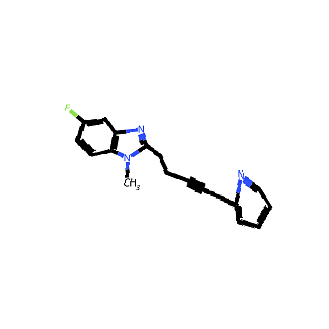 Cn1c(CCC#Cc2ccccn2)nc2cc(F)ccc21